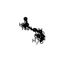 COc1cccc(Nc2c(C(N)=O)cnc3c(C)cc(S(=O)(=O)c4cccc(C(=O)Nc5ccc(CCNC[C@H](O)c6ccc(OCc7ccccc7)c7[nH]c(=O)ccc67)cc5)c4)cc23)c1